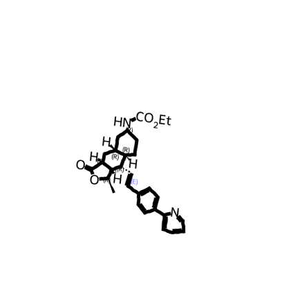 CCOC(=O)N[C@@H]1CC[C@@H]2[C@@H](C1)C[C@H]1C(=O)O[C@H](C)[C@H]1[C@H]2/C=C/c1ccc(-c2ccccn2)cc1